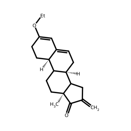 C=C1CC2[C@@H]3CC=C4C=C(OCC)CC[C@@H]4C3CC[C@]2(C)C1=O